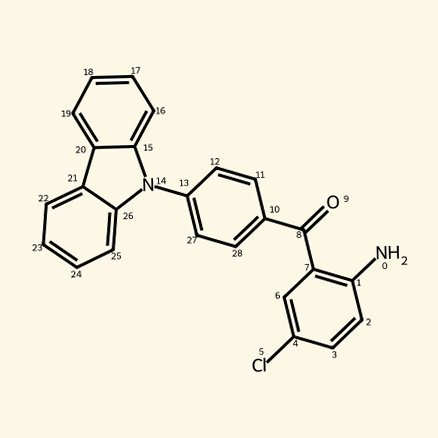 Nc1ccc(Cl)cc1C(=O)c1ccc(-n2c3ccccc3c3ccccc32)cc1